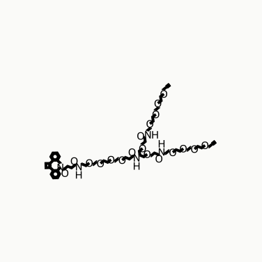 C#CCOCCOCCOCCOCCNC(=O)CCOCC(COCCC(=O)NCCOCCOCCOCCOCC#C)NC(=O)CCOCCOCCOCCOCCNC(=O)CCC(=O)N1Cc2ccccc2C2=C(CC2)c2ccccc21